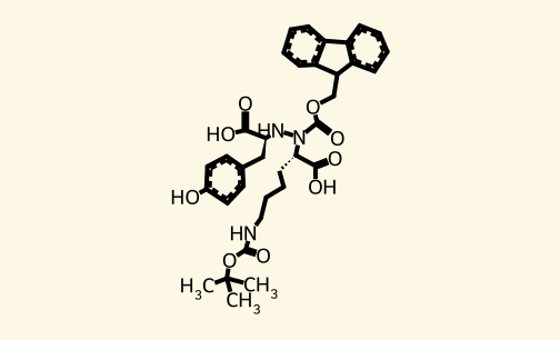 CC(C)(C)OC(=O)NCCCC[C@@H](C(=O)O)N(N[C@@H](Cc1ccc(O)cc1)C(=O)O)C(=O)OCC1c2ccccc2-c2ccccc21